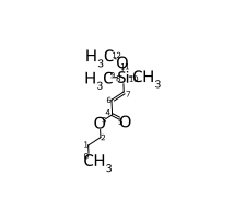 CCCOC(=O)C=C[Si](C)(C)OC